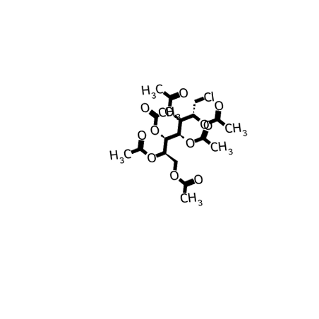 CC(=O)OC[C@@H](OC(C)=O)[C@H](OC(C)=O)[C@@H](OC(C)=O)[C@@H](OC(C)=O)[C@H](CCl)OC(C)=O